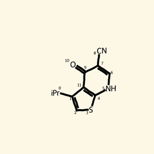 CC(C)c1csc2[nH]cc(C#N)c(=O)c12